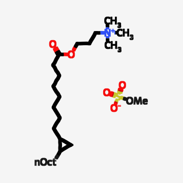 CCCCCCCCC1CC1CCCCCCCC(=O)OCCC[N+](C)(C)C.COS(=O)(=O)[O-]